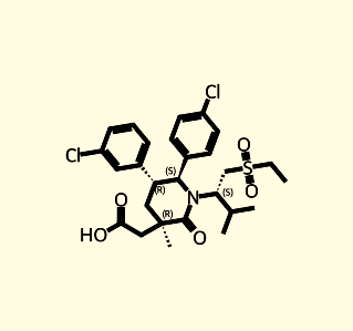 CCS(=O)(=O)C[C@H](C(C)C)N1C(=O)[C@@](C)(CC(=O)O)C[C@H](c2cccc(Cl)c2)[C@H]1c1ccc(Cl)cc1